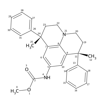 COC(=O)Nc1cc2c3c(c1)[C@@](C)(c1ccccc1)CCN3CC[C@@]2(C)c1ccccc1